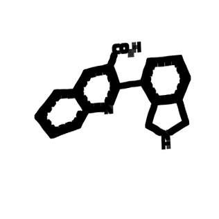 O=C(O)c1cc2ccccc2nc1-c1cccc2c1CNC2